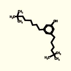 CC(C)(C)CCCCCCc1cc(O)cc(CCCCC(C)(C)C)c1